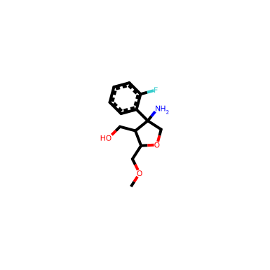 COCC1OCC(N)(c2ccccc2F)C1CO